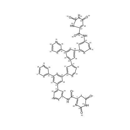 O=C1CC(C(=O)Nc2cncc(-c3cc(-c4cccnc4)cc(-c4cccc(-c5cc(-c6cccnc6)cc(-c6cncc(NC(=O)c7cc(=O)[nH]c(=O)[nH]7)c6)c5)c4)c3)c2)=NC(=O)N1